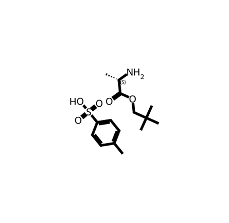 C[C@H](N)C(=O)OCC(C)(C)C.Cc1ccc(S(=O)(=O)O)cc1